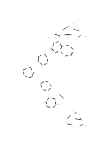 CC(C)(C)c1ccc([O-])c(C(C)(C)C)c1Cl.CC(C)(C)c1ccc([O-])c(C(C)(C)C)c1Cl.CC1=Cc2c(-c3ccccc3)cccc2[CH]1[Zr+].CC1=Cc2c(ccc3ccccc23)[CH]1[Zr+3].CCC1=NC2=CC=C3C2=C1[Si]3(C)C.CCC1=NC2=CC=C3C2=C1[Si]3(C)C